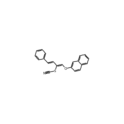 N#CSC(C=Cc1ccccc1)=COc1ccc2ccccc2c1